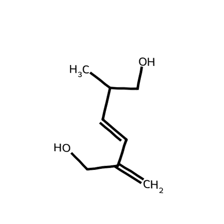 C=C(C=CC(C)CO)CO